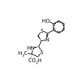 C[C@]1(C(=O)O)CS[C@H]([C@H]2CSC(c3ccccc3O)=N2)N1